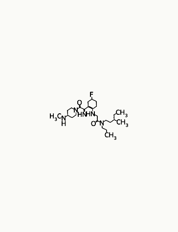 CCCN(CCC(C)CC)C(=O)CNC1=C(C(=N)C(=O)N2CCC(NC)CC2)CC(F)CC1